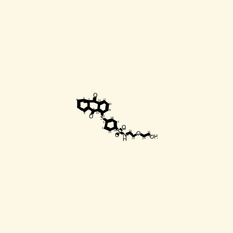 O=C1c2ccccc2C(=O)c2c(Sc3ccc(S(=O)(=O)NCCOCCO)cc3)cccc21